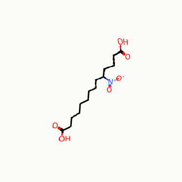 O=C(O)CCCCCCCCC(CCCC(=O)O)[N+](=O)[O-]